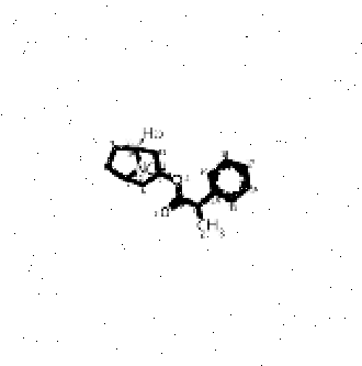 CC(C(=O)OC1CC2CC[C@@H](C1)N2C)c1ccccc1